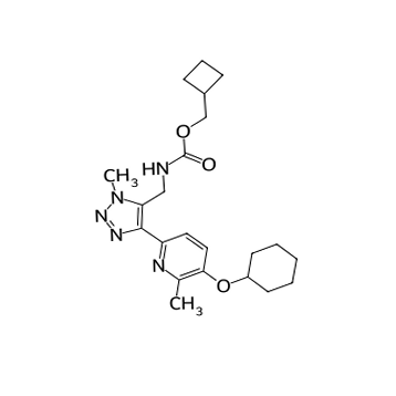 Cc1nc(-c2nnn(C)c2CNC(=O)OCC2CCC2)ccc1OC1CCCCC1